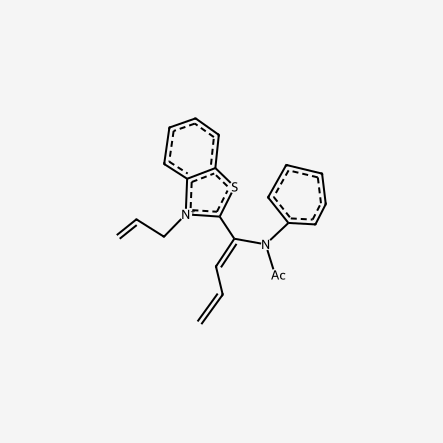 C=CC=C(c1sc2ccccc2[n+]1CC=C)N(C(C)=O)c1ccccc1